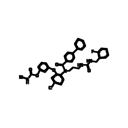 CCNC(=O)Oc1cccc(Oc2cc(Cl)ccc2N(CCCNC(=O)NCc2ccccc2F)C(=O)c2ccc(-c3ccccc3)cc2)c1